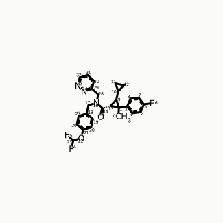 CC1(c2ccc(F)cc2)C(C2CC2)[C@H]1C(=O)N(Cc1ccc(OC(F)F)cc1)Cc1cccnn1